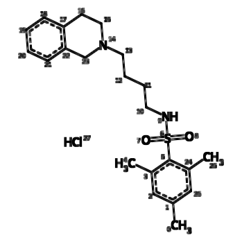 Cc1cc(C)c(S(=O)(=O)NCCCCN2CCc3ccccc3C2)c(C)c1.Cl